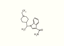 CC(C1CCN(CC(F)(F)F)CC1)n1cc(C(N)=O)c2ccccc21